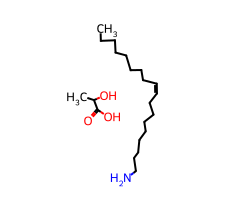 CC(O)C(=O)O.CCCCCCCC/C=C\CCCCCCCCN